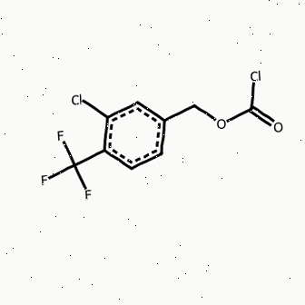 O=C(Cl)OCc1ccc(C(F)(F)F)c(Cl)c1